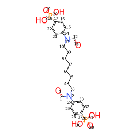 O=CN(CCCCCCCCN(C=O)c1ccc(P(=O)(O)O)cc1)c1ccc(P(=O)(O)O)cc1